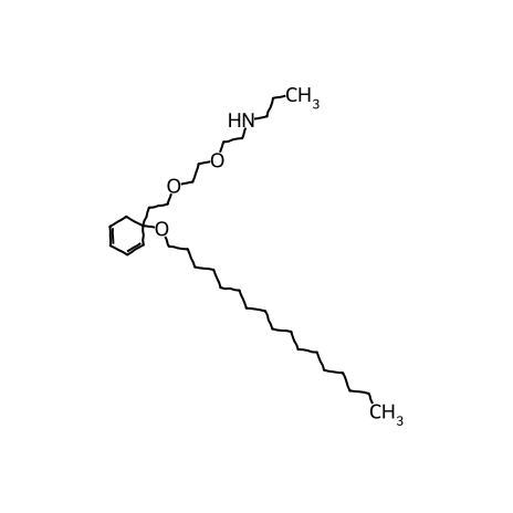 CCCCCCCCCCCCCCCCCOC1(CCOCCOCCNCCC)C=CC=CC1